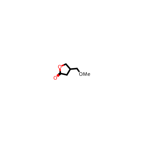 COCC1COC(=O)C1